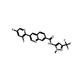 Cn1nc(C(F)(F)F)cc1NC(=O)c1ccc2cc(-c3ncc(F)cc3F)cnc2c1